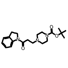 CC(C)(C)OC(=O)N1CCN(CCC(=O)N2CCc3ccccc32)CC1